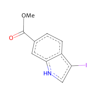 COC(=O)c1ccc2c(I)c[nH]c2c1